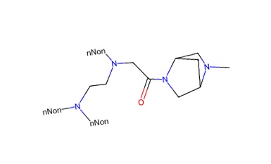 CCCCCCCCCN(CCCCCCCCC)CCN(CCCCCCCCC)CC(=O)N1CC2CC1CN2C